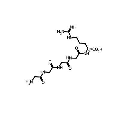 N=C(N)NCCC[C@H](NC(=O)CNC(=O)CNC(=O)CNC(=O)CN)C(=O)O